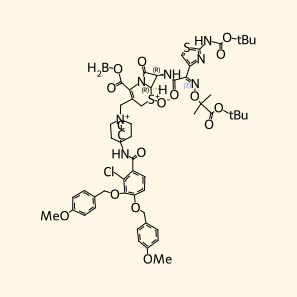 BOC(=O)C1=C(C[N+]23CCC(NC(=O)c4ccc(OCc5ccc(OC)cc5)c(OCc5ccc(OC)cc5)c4Cl)(CC2)CC3)C[S+]([O-])[C@@H]2[C@H](NC(=O)/C(=N\OC(C)(C)C(=O)OC(C)(C)C)c3csc(NC(=O)OC(C)(C)C)n3)C(=O)N12